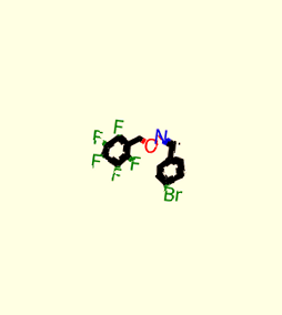 Fc1c(F)c(F)c(CO/N=[C]\c2ccc(Br)cc2)c(F)c1F